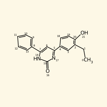 CCc1cc(-c2cc(-c3ccccc3)[nH]c(=O)n2)ccc1O